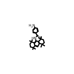 CC1(C)CCC(C)(C)c2c1cc1c(c2NC(=O)c2ccc(N)cc2)C(C)(C)CCC1(C)C